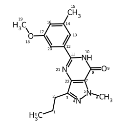 CCCc1nn(C)c2c(=O)[nH]c(-c3cc(C)cc(OC)c3)nc12